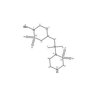 CC(C)(C)N1COC(CC(C)(C)N2CCNCS2(=O)=O)CS1(=O)=O